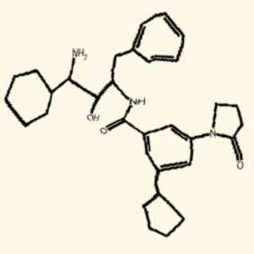 NC(C1CCCCC1)C(O)C(Cc1ccccc1)NC(=O)c1cc(C2CCCC2)cc(N2CCCC2=O)c1